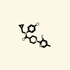 Cc1cnc(N2CCC(C(=O)N(CC3CC3)c3ccc(Cl)cc3)CC2)c(F)c1